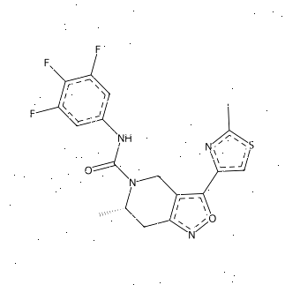 Cc1nc(-c2onc3c2CN(C(=O)Nc2cc(F)c(F)c(F)c2)[C@@H](C)C3)cs1